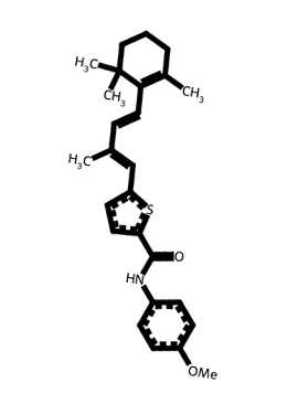 COc1ccc(NC(=O)c2ccc(/C=C(\C)C=CC3=C(C)CCCC3(C)C)s2)cc1